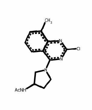 CC(=O)NC1CCN(c2nc(Cl)nc3c(C)cccc23)C1